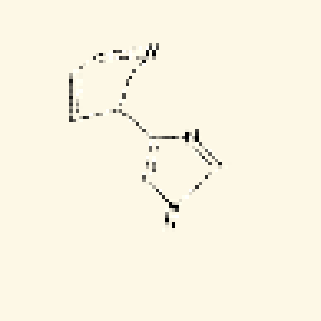 [c]1nc(C2C=CC=N2)c[nH]1